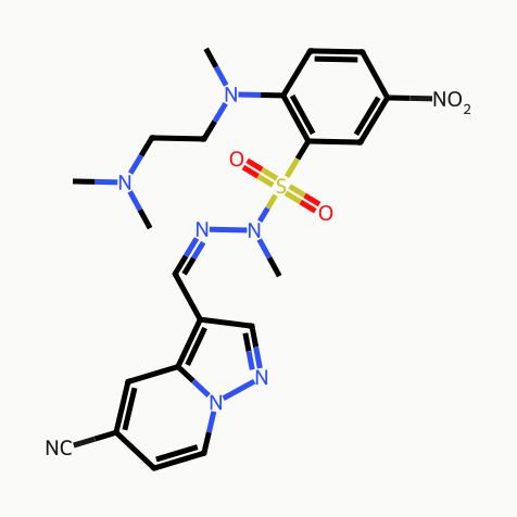 CN(C)CCN(C)c1ccc([N+](=O)[O-])cc1S(=O)(=O)N(C)/N=C\c1cnn2ccc(C#N)cc12